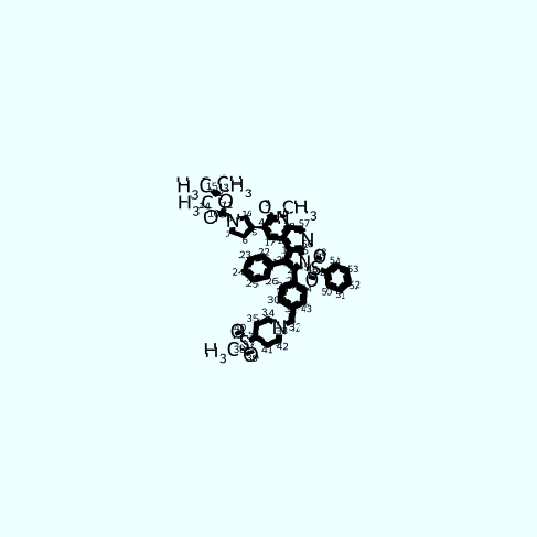 Cn1c(=O)c([C@H]2CCN(C(=O)OC(C)(C)C)C2)cc2c3c(-c4ccccc4)c(-c4ccc(CN5CCC(S(C)(=O)=O)CC5)cc4)n(S(=O)(=O)c4ccccc4)c3ncc21